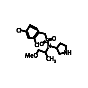 COCC(C)N(C1CCNC1)S(=O)(=O)Cc1ccc(Cl)cc1Cl